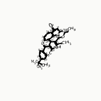 CCCOC(=O)C1=C(C)NC(C)=C(C(=O)c2ccc(C(C)(C)C)cc2)C1c1cccc2c(=O)cc(C)oc12